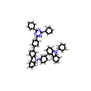 c1ccc(-c2nc(-c3ccccc3)nc(-c3ccc(-c4ccc5c6ccccc6n(-c6cccc(-c7cccc8c7c7ccccc7n8-c7ccccc7)c6)c5c4)cc3)n2)cc1